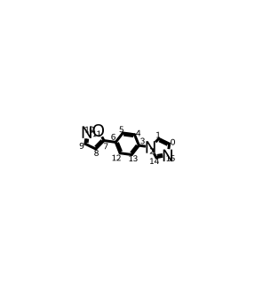 c1cn(-c2ccc(-c3ccno3)cc2)cn1